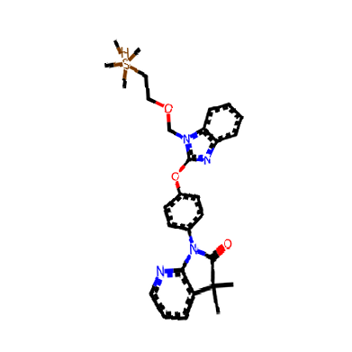 CC1(C)C(=O)N(c2ccc(Oc3nc4ccccc4n3COCC[SH](C)(C)(C)C)cc2)c2ncccc21